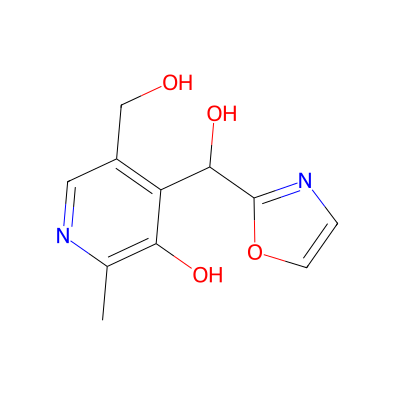 Cc1ncc(CO)c(C(O)c2ncco2)c1O